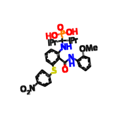 COc1ccccc1NC(=O)c1c(NC(C(C)C)(C(C)C)P(=O)(O)O)cccc1Sc1ccc([N+](=O)[O-])cc1